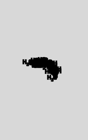 COc1ccc(N=Nc2c(S(=O)(=O)O)cc3c(S(=O)(=O)O)c(N=Nc4c(S(=O)(=O)O)cc5cc(S(=O)(=O)O)c(N=Nc6ccc7c(O)c(N=Nc8ccc(OC)cc8S(=O)(=O)O)c(S(=O)(=O)O)cc7c6S(=O)(=O)O)c(O)c5c4N)ccc3c2O)c(S(=O)(=O)O)c1